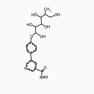 CNC(=O)c1cncc(-c2ccc(OC(O)C(O)C(O)C(O)C(C)CO)cc2)c1